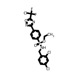 CCOP(=O)(NCc1ccc(Cl)cc1Cl)c1ccc(-c2noc(C(F)(F)Cl)n2)cc1